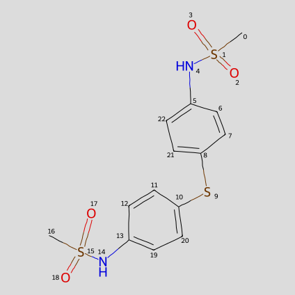 CS(=O)(=O)Nc1ccc(Sc2ccc(NS(C)(=O)=O)cc2)cc1